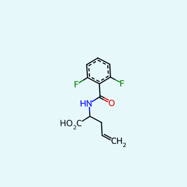 C=CCC(NC(=O)c1c(F)cccc1F)C(=O)O